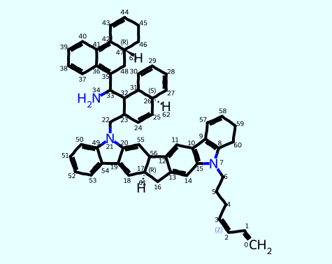 C=C/C=C\CCCn1c2c(c3cc4c(cc31)C[C@H]1C=c3c(n(CC5C=C[C@@H]6C=CC=CC6C5C(N)C5=c6ccccc6=C6C=CCC[C@@H]6C5)c5ccccc35)=CC41)C=CCC2